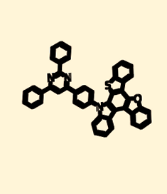 c1ccc(-c2cc(-c3ccc(-n4c5ccccc5c5c6c7ccccc7oc6c6c7ccccc7sc6c54)cc3)nc(-c3ccccc3)n2)cc1